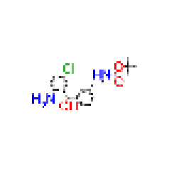 CC(C)(C)OC(=O)NCCc1cccc(C(O)c2cc(Cl)ccc2N)c1